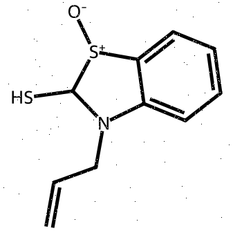 C=CCN1c2ccccc2[S+]([O-])C1S